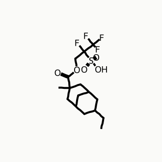 CCC1CC2CC(C1)CC(C)(C(=O)OCC(F)(C(F)(F)F)S(=O)(=O)O)C2